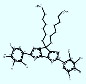 CCCCCCCCCCCCCCCCC1(CCCCCCCCCCCCCCCC)c2cc(-c3cc(F)c(Br)c(F)c3F)sc2-c2sc(-c3cc(F)c(Br)c(F)c3F)cc21